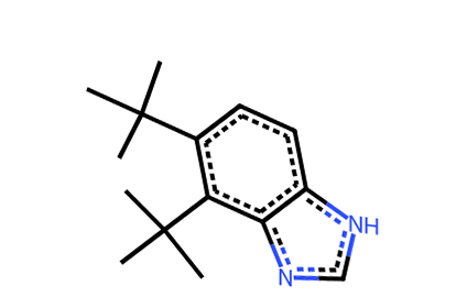 CC(C)(C)c1ccc2[nH]cnc2c1C(C)(C)C